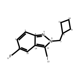 Fc1ccc2nn(CC3CCC3)c(I)c2c1